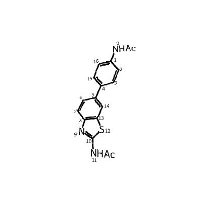 CC(=O)Nc1ccc(-c2ccc3nc(NC(C)=O)sc3c2)cc1